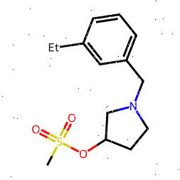 CCc1cccc(CN2CCC(OS(C)(=O)=O)C2)c1